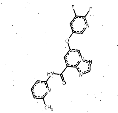 Cc1cccc(NC(=O)c2cc(Oc3cnc(F)c(F)c3)cn3ncnc23)n1